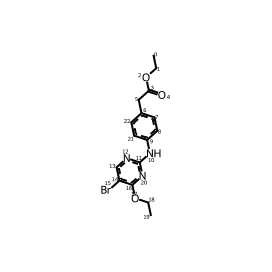 CCOC(=O)Cc1ccc(Nc2ncc(Br)c(OCC)n2)cc1